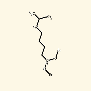 CCO[SiH](CCCCNC(C)N)OCC